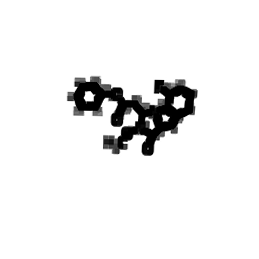 CON1C(=O)c2cc3cccc(F)c3n2C1CC(=O)Oc1ccccc1